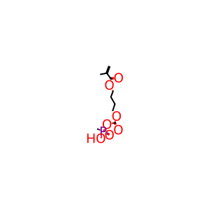 C=C(C)C(=O)OCCCCOC(=O)OP(C)(=O)O